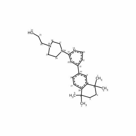 CC1(C)CCC(C)(C)c2cc(-c3ccnc(N4CCN(CCO)CC4)n3)ccc21